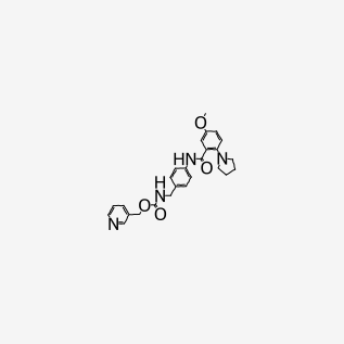 COc1ccc(N2CCCC2)c(C(=O)Nc2ccc(CNC(=O)OCc3cccnc3)cc2)c1